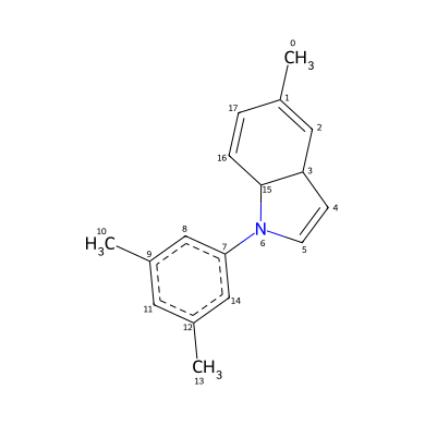 CC1=CC2C=CN(c3cc(C)cc(C)c3)C2C=C1